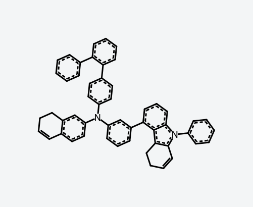 C1=Cc2ccc(N(c3ccc(-c4ccccc4-c4ccccc4)cc3)c3cccc(-c4cccc5c4c4c(n5-c5ccccc5)C=CCC4)c3)cc2CC1